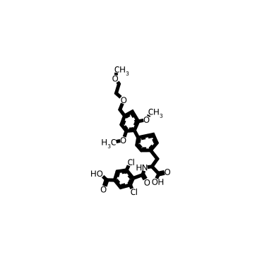 COCCOCc1cc(OC)c(-c2ccc(CC(NC(=O)c3c(Cl)cc(C(=O)O)cc3Cl)C(=O)O)cc2)c(OC)c1